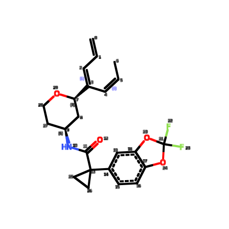 C=C/C=C(\C=C/C)[C@H]1C[C@@H](NC(=O)C2(c3ccc4c(c3)OC(F)(F)O4)CC2)CCO1